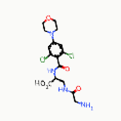 NCC(=O)NCC(NC(=O)c1c(Cl)cc(N2CCOCC2)cc1Cl)C(=O)O